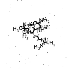 C=C(N)NCCC[C@H](NC(=O)C(C)(C)NC(C)=O)C(=O)N[C@H](C(N)=O)C(C)C